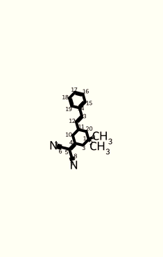 CC1(C)CC(=C(C#N)C#N)CC(C=Cc2ccccc2)C1